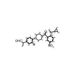 CC(C=O)c1ccc(N2CCN(C(=O)c3cc([N+](=O)[O-])ccc3N(C)C3CC3)CC2)c(F)c1